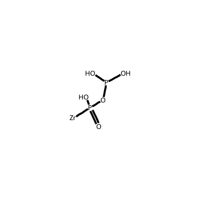 O=[P](O)([Zr])OP(O)O